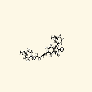 Cn1c(=O)n(C2CCCNC2)c2ccc(C#CCCOC3CCNCC3)cc21